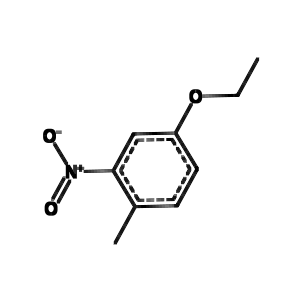 CCOc1ccc(C)c([N+](=O)[O-])c1